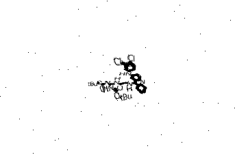 CC(C)(C)OC(=O)/N=C(/NCCNc1c2ccccc2nc2ccc(Nc3ccc(Cl)c(Cl)c3)cc12)NC(=O)OC(C)(C)C